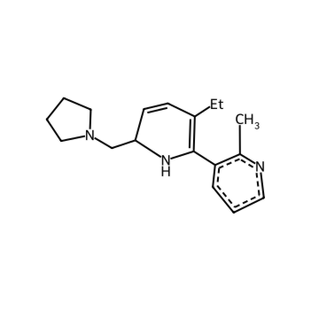 CCC1=C(c2cccnc2C)NC(CN2CCCC2)C=C1